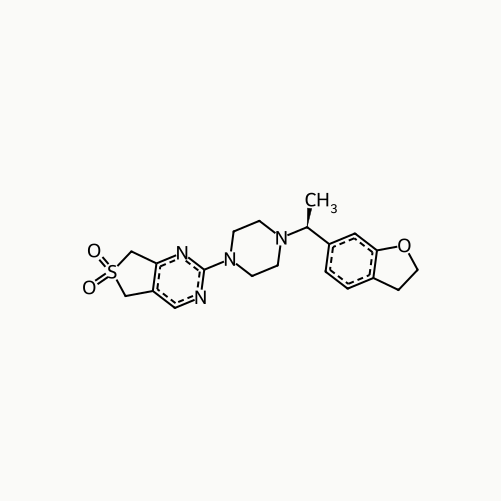 C[C@@H](c1ccc2c(c1)OCC2)N1CCN(c2ncc3c(n2)CS(=O)(=O)C3)CC1